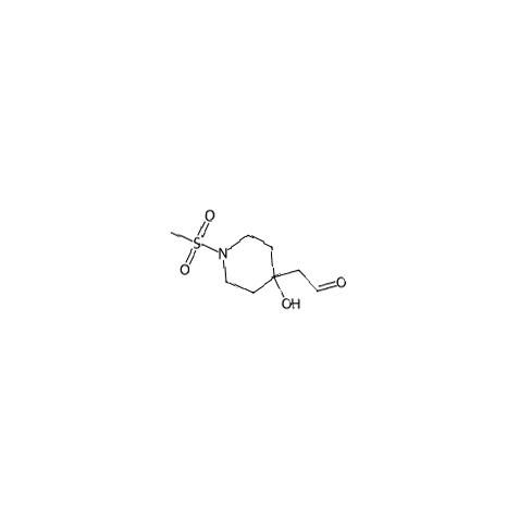 CS(=O)(=O)N1CCC(O)(CC=O)CC1